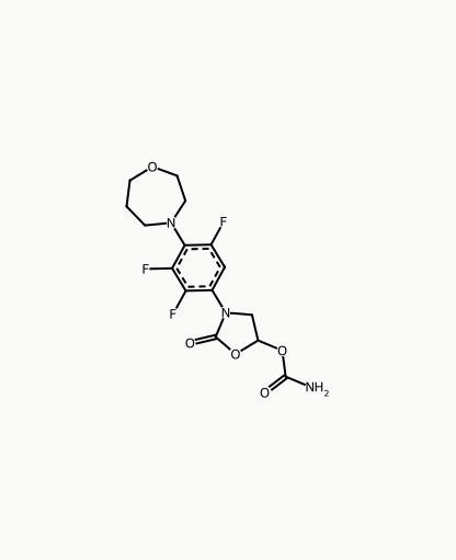 NC(=O)OC1CN(c2cc(F)c(N3CCCOCC3)c(F)c2F)C(=O)O1